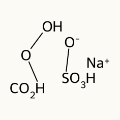 O=C(O)OO.O=S(=O)([O-])O.[Na+]